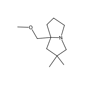 COCC12CCCN1CC(C)(C)C2